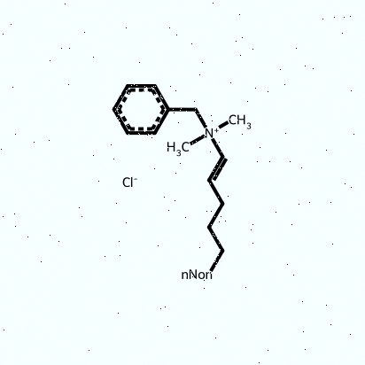 CCCCCCCCCCCCC=C[N+](C)(C)Cc1ccccc1.[Cl-]